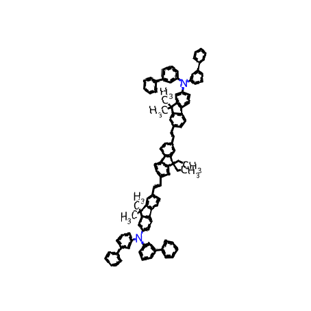 CCC1(CC)c2cc(/C=C/c3ccc4c(c3)C(C)(C)c3cc(N(c5cccc(-c6ccccc6)c5)c5cccc(-c6ccccc6)c5)ccc3-4)ccc2-c2ccc(/C=C/c3ccc4c(c3)C(C)(C)c3cc(N(c5cccc(-c6ccccc6)c5)c5cccc(-c6ccccc6)c5)ccc3-4)cc21